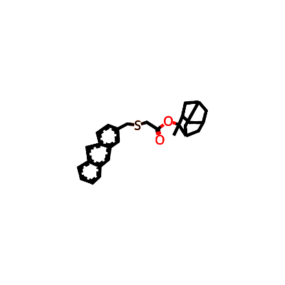 CC1(OC(=O)CSCc2ccc3cc4ccccc4cc3c2)C2CC3CC(C2)CC1C3